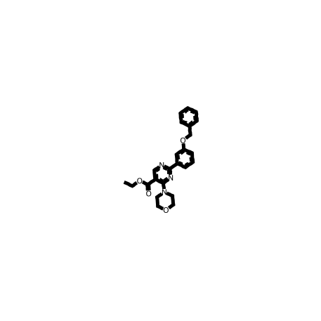 CCOC(=O)c1cnc(-c2cccc(OCc3ccccc3)c2)nc1N1CCOCC1